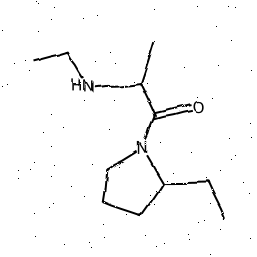 CCNC(C)C(=O)N1CCCC1CC